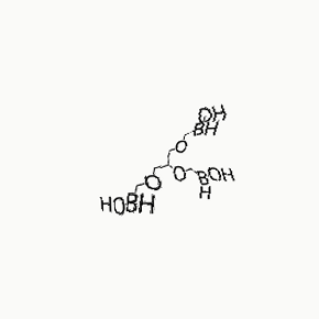 OBCOCC(COCBO)OCBO